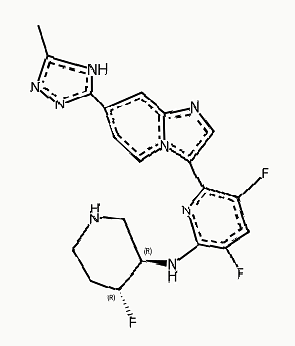 Cc1nnc(-c2ccn3c(-c4nc(N[C@@H]5CNCC[C@H]5F)c(F)cc4F)cnc3c2)[nH]1